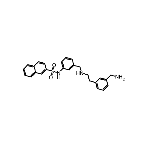 NCc1cccc(CCNCc2cccc(NS(=O)(=O)c3ccc4ccccc4c3)c2)c1